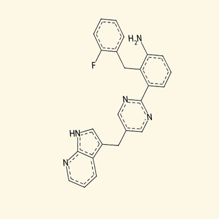 Nc1cccc(-c2ncc(Cc3c[nH]c4ncccc34)cn2)c1Cc1ccccc1F